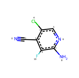 N#Cc1c(Cl)cnc(N)c1F